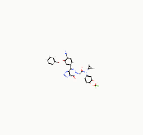 N#Cc1ccc(-c2nn(CC(=O)N(c3ccc4c(c3)OC(F)(F)O4)C3CC3)c(=O)c3nc[nH]c23)cc1OCc1ccccc1